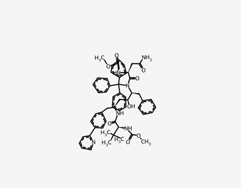 COC(=O)N[C@@H](CC(N)=O)C(=O)N([C@@H](Cc1ccccc1)[C@@H](O)C[C@H](Cc1ccc(-c2ccccn2)cc1)NC(=O)[C@@H](NC(=O)OC)C(C)(C)C)C(c1ccccc1)(c1ccccc1)c1ccccc1